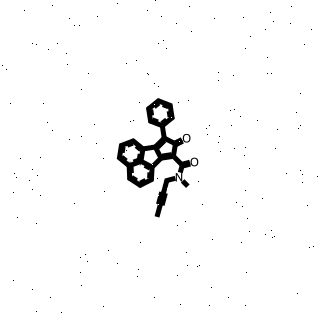 CC#CCN(C)C(=O)C1=C2C(=C(c3ccccc3)C1=O)c1cccc3cccc2c13